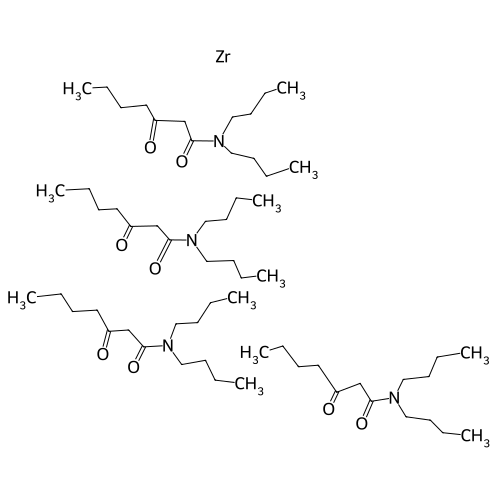 CCCCC(=O)CC(=O)N(CCCC)CCCC.CCCCC(=O)CC(=O)N(CCCC)CCCC.CCCCC(=O)CC(=O)N(CCCC)CCCC.CCCCC(=O)CC(=O)N(CCCC)CCCC.[Zr]